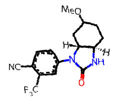 COC1CC[C@H]2NC(=O)N(c3ccc(C#N)c(C(F)(F)F)c3)[C@@H]2C1